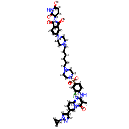 Cc1c(Nc2ccc(S(=O)(=O)N3CCN(CCCCCCN4CCN(c5ccc6c(c5)C(=O)N(C5CCC(=O)NC5=O)C6=O)CC4)CC3)cc2F)nc2ccc(-c3cnn(C4CC4)c3)cn2c1=O